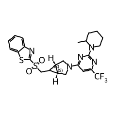 CC1CCCCN1c1nc(N2C[C@@H]3C(CS(=O)(=O)c4nc5ccccc5s4)[C@@H]3C2)cc(C(F)(F)F)n1